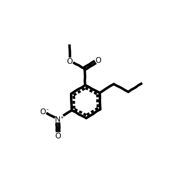 CCCc1ccc([N+](=O)[O-])cc1C(=O)OC